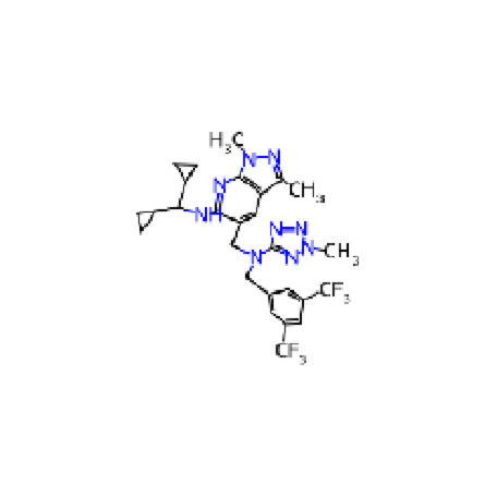 Cc1nn(C)c2nc(NC(C3CC3)C3CC3)c(CN(Cc3cc(C(F)(F)F)cc(C(F)(F)F)c3)c3nnn(C)n3)cc12